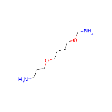 NCCCOCCCCOCN